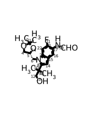 CC1(C)OC[C@@H](Cn2c(C(C)(C)CO)cc3cc(NC=O)c(F)cc32)O1